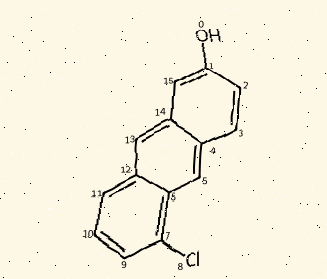 Oc1ccc2cc3c(Cl)cccc3cc2c1